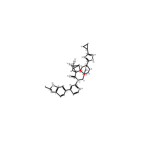 Cc1nc2ccc(-c3ccnc(N(CC45CCC(c6nc(C7CC7)no6)(CC4)CC5)C(=O)C45CC(C4)[C@@H](F)C5)c3)cc2o1